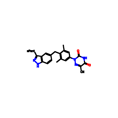 CCCCCc1n[nH]c2ccc(Cc3c(C)cc(-n4nc(C#N)c(=O)[nH]c4=O)cc3C)cc12